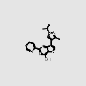 Cc1nn(C(C)C)cc1-c1csc2c(O)nc(C3=CCCC=N3)nc12